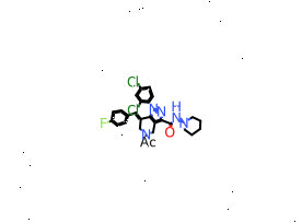 CC(=O)N1C/C(=C\c2ccc(F)cc2)c2c(c(C(=O)NN3CCCCC3)nn2-c2ccc(Cl)cc2Cl)C1